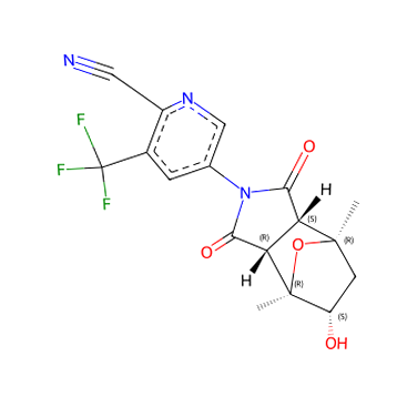 C[C@]12O[C@](C)(C[C@@H]1O)[C@H]1C(=O)N(c3cnc(C#N)c(C(F)(F)F)c3)C(=O)[C@H]12